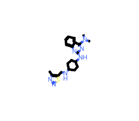 Cc1nnsc1CNC1CCC(Nc2nc(N(C)C)c3ccccc3n2)CC1